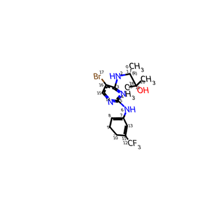 C[C@@H](Nc1nc(NC2=CC[CH]C(C(F)(F)F)=C2)ncc1Br)C(C)(C)O